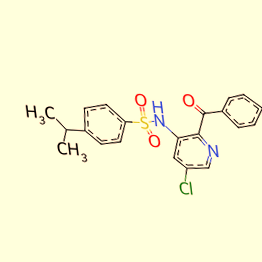 CC(C)c1ccc(S(=O)(=O)Nc2cc(Cl)cnc2C(=O)c2ccccc2)cc1